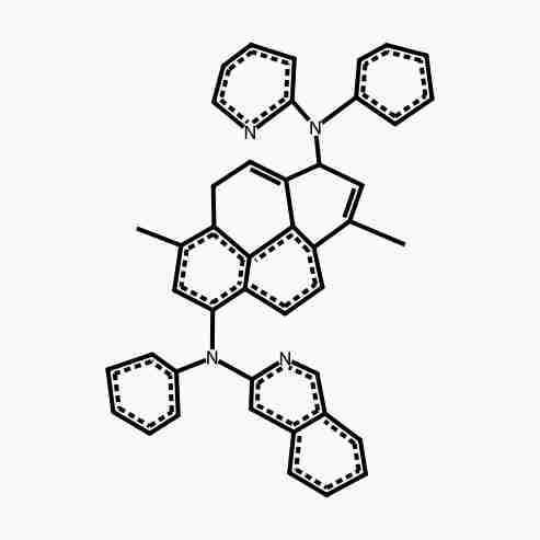 CC1=CC(N(c2ccccc2)c2ccccn2)C2=CCc3c(C)cc(N(c4ccccc4)c4cc5ccccc5cn4)c4ccc1c2c34